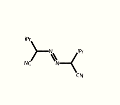 CC(C)C(C#N)/N=N/C(C#N)C(C)C